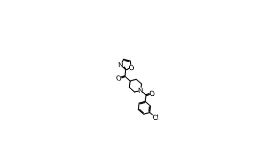 O=C(c1ncco1)C1CCN(C(=O)c2cccc(Cl)c2)CC1